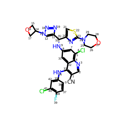 N#Cc1cnc2c(Cl)cc(N[C@H](c3cn(C4COC4)nn3)c3csc(N4CCOCC4)n3)cc2c1Nc1ccc(F)c(Cl)c1